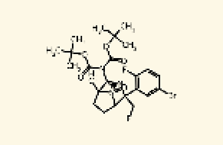 CC(C)(C)OC(=O)N(C(=O)OC(C)(C)C)C1=NC(CF)(c2cc(Br)ccc2F)C2CCC1(C)S2(=O)=O